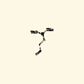 C=CCOB(OC)OC